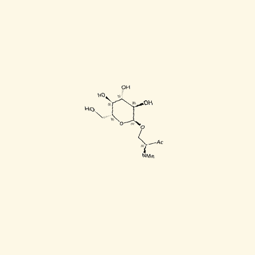 CN[C@@H](CO[C@H]1O[C@H](CO)[C@@H](O)[C@H](O)[C@H]1O)C(C)=O